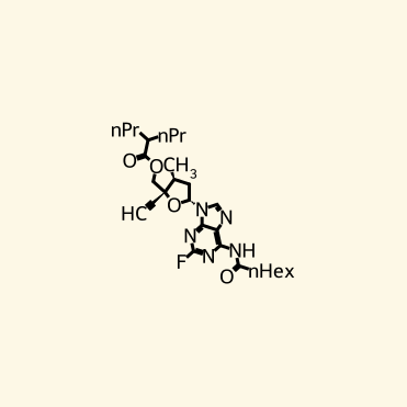 C#C[C@]1(COC(=O)C(CCC)CCC)O[C@@H](n2cnc3c(NC(=O)CCCCCC)nc(F)nc32)C[C@@H]1C